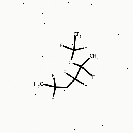 CC(F)(F)CC(F)(F)C(C)(F)OC(F)(F)C(F)(F)F